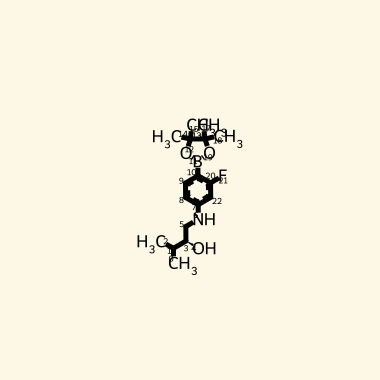 CC(C)[C@@H](O)CNc1ccc(B2OC(C)(C)C(C)(C)O2)c(F)c1